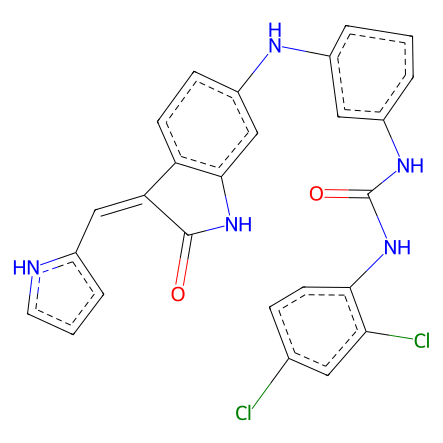 O=C(Nc1cccc(Nc2ccc3c(c2)NC(=O)C3=Cc2ccc[nH]2)c1)Nc1ccc(Cl)cc1Cl